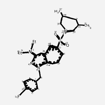 CCN(CC)c1nn(Cc2ccc(F)cc2)c2ccc(S(=O)(=O)N3CC(C)CC(C)C3)cc12